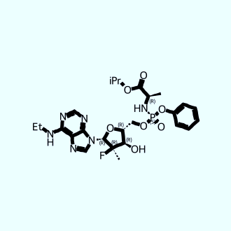 CCNc1ncnc2c1ncn2[C@@H]1O[C@H](CO[P@@](=O)(N[C@H](C)C(=O)OC(C)C)Oc2ccccc2)[C@@H](O)[C@@]1(C)F